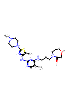 Cc1sc(N2CCN(C)CC2)nc1Nc1ncc(C(F)(F)F)c(NCCCN2CCCOCC2=O)n1